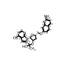 CC(C)(O)O[C@@H]1C[C@@H](COc2ccc3ccc(N)nc3c2)O[C@H]1n1ccc2c(Cl)ncnc21